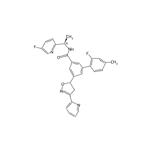 Cc1ccc(-c2cc(C(=O)N[C@H](C)c3ccc(F)cn3)cc(C3CC(c4ccccn4)=NO3)c2)c(F)c1